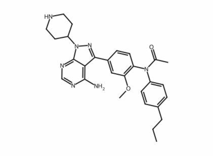 CCCc1ccc(N(C(C)=O)c2ccc(-c3nn(C4CCNCC4)c4ncnc(N)c34)cc2OC)cc1